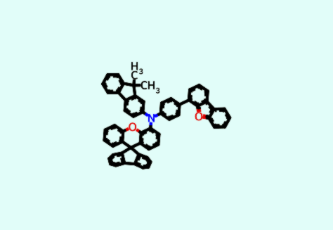 CC1(C)c2ccccc2-c2ccc(N(c3ccc(-c4cccc5c4oc4ccccc45)cc3)c3cccc4c3Oc3ccccc3C43c4ccccc4-c4ccccc43)cc21